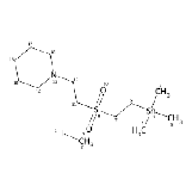 CI.[CH3][Sn]([CH3])([CH3])[CH2]CS(=O)(=O)CCN1CCCCC1